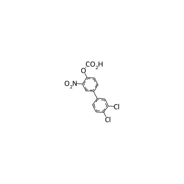 O=C(O)Oc1ccc(-c2ccc(Cl)c(Cl)c2)cc1[N+](=O)[O-]